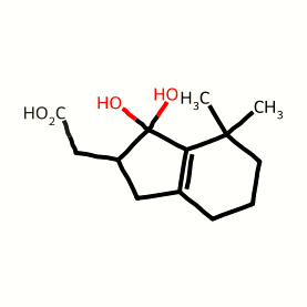 CC1(C)CCCC2=C1C(O)(O)C(CC(=O)O)C2